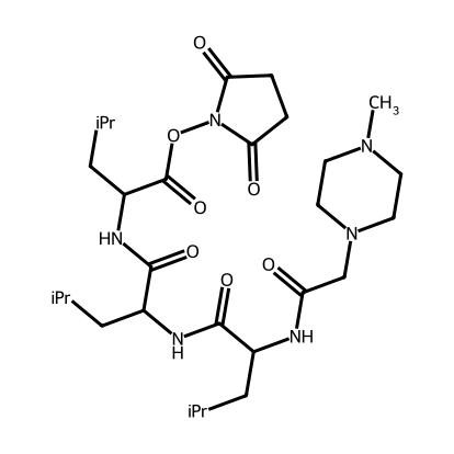 CC(C)CC(NC(=O)CN1CCN(C)CC1)C(=O)NC(CC(C)C)C(=O)NC(CC(C)C)C(=O)ON1C(=O)CCC1=O